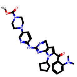 CN(C)c1ccccc1C(=O)c1cc2cnc(Nc3ccc(N4CCN(C(=O)OC(C)(C)C)CC4)cn3)nc2n1C1CCCC1